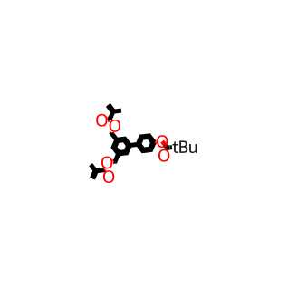 C=C(C)C(=O)OCc1cc(COC(=O)C(=C)C)cc(-c2ccc(OC(=O)C(C)(C)C)cc2)c1